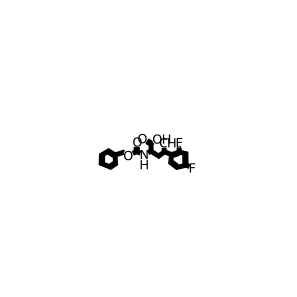 CC(CC(NC(=O)OCc1ccccc1)C(=O)O)c1ccc(F)cc1F